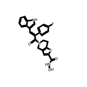 O=C(NO)c1cc2c(s1)CCN(C(=O)C(=Cc1c[nH]c3ccccc13)c1ccc(F)cc1)C2